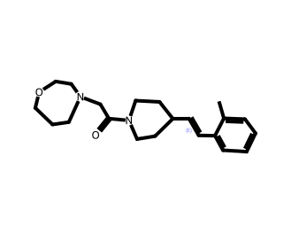 Cc1ccccc1/C=C/C1CCN(C(=O)CN2CCCOCC2)CC1